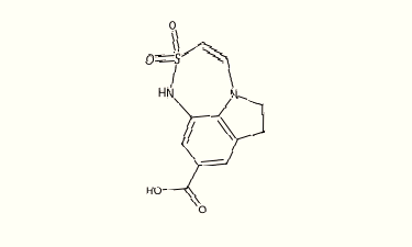 O=C(O)c1cc2c3c(c1)NS(=O)(=O)C=CN3CC2